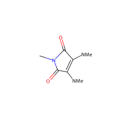 CNC1=C(NC)C(=O)N(C)C1=O